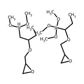 CCC(C[SiH](OC)OC)OCC1CO1.CCC(OCC1CO1)[Si](OC)(OC)OC